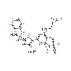 CC1CC1CNc1cc(-c2nnc([C@](C)(N)Cc3ccccc3)o2)cc(N(C)S(C)(=O)=O)n1.Cl